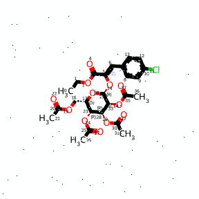 CCOC(=O)/C(=C/c1ccc(Cl)cc1)O[C@H]1O[C@@H](COC(C)=O)[C@@H](OC(C)=O)[C@@H](OC(C)=O)[C@@H]1OC(C)=O